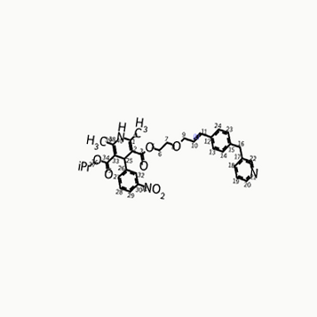 CC1=C(C(=O)OCCOC/C=C/c2ccc(Cc3cccnc3)cc2)C(c2cccc([N+](=O)[O-])c2)C(C(=O)OC(C)C)=C(C)N1